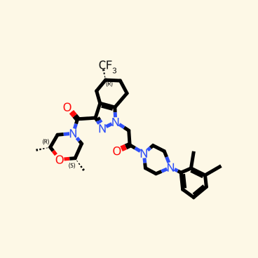 Cc1cccc(N2CCN(C(=O)Cn3nc(C(=O)N4C[C@@H](C)O[C@@H](C)C4)c4c3CC[C@@H](C(F)(F)F)C4)CC2)c1C